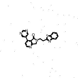 O=C1c2c(-c3cncnc3)ccnc2CN1CCc1nc2ccccc2s1